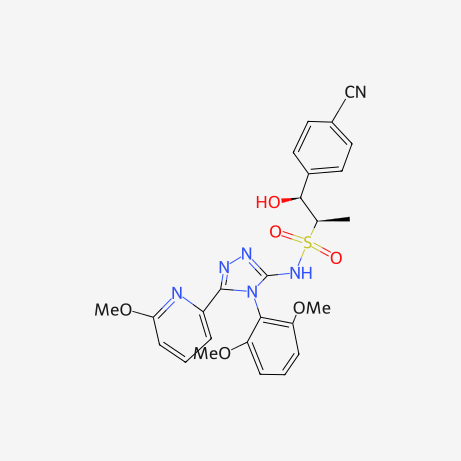 COc1cccc(-c2nnc(NS(=O)(=O)[C@H](C)[C@@H](O)c3ccc(C#N)cc3)n2-c2c(OC)cccc2OC)n1